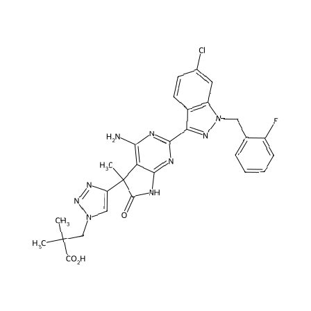 CC(C)(Cn1cc(C2(C)C(=O)Nc3nc(-c4nn(Cc5ccccc5F)c5cc(Cl)ccc45)nc(N)c32)nn1)C(=O)O